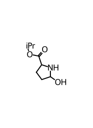 CC(C)OC(=O)C1CCC(O)N1